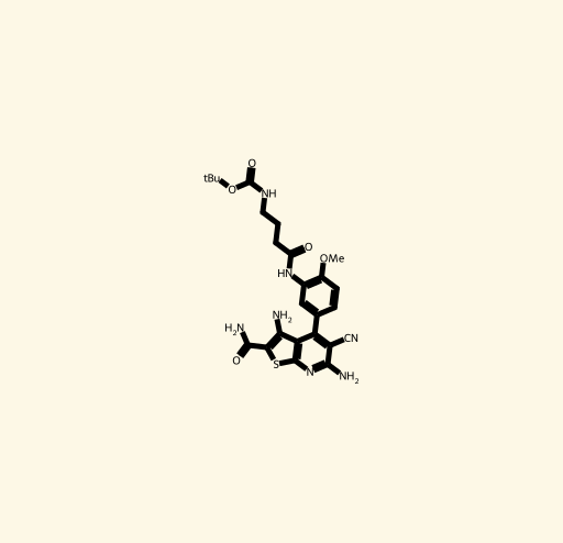 COc1ccc(-c2c(C#N)c(N)nc3sc(C(N)=O)c(N)c23)cc1NC(=O)CCCNC(=O)OC(C)(C)C